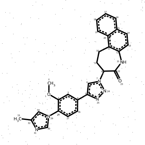 COc1cc(-c2cn(C3CCc4c(ccc5ccccc45)NC3=O)nn2)ccc1-n1cnc(C)c1